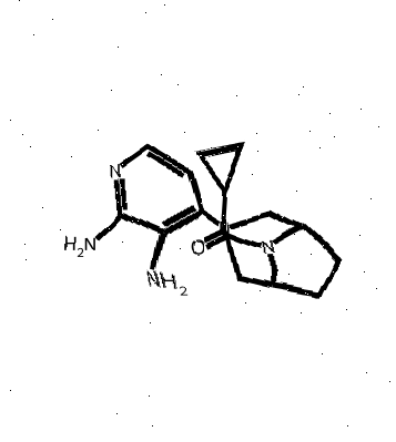 Nc1nccc(N2CC3CCC(C2)N3C(=O)C2CC2)c1N